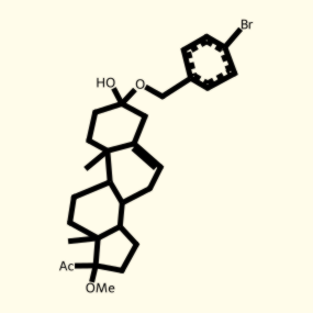 COC1(C(C)=O)CCC2C3CC=C4CC(O)(OCc5ccc(Br)cc5)CCC4(C)C3CCC21C